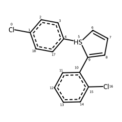 Clc1ccc([SH]2[C]=CC=C2c2ccccc2Cl)cc1